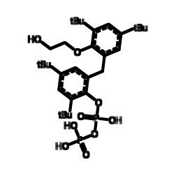 CC(C)(C)c1cc(Cc2cc(C(C)(C)C)cc(C(C)(C)C)c2OP(=O)(O)OP(=O)(O)O)c(OCCO)c(C(C)(C)C)c1